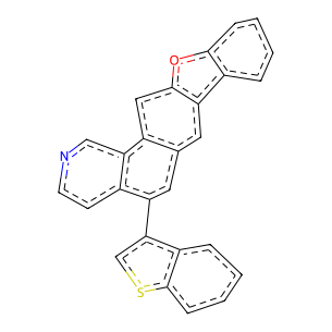 c1ccc2c(c1)oc1cc3c(cc(-c4csc5ccccc45)c4ccncc43)cc12